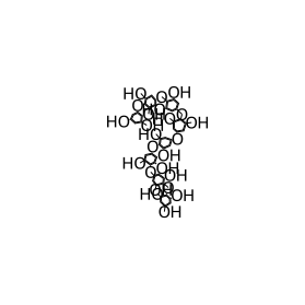 Oc1cc(O)cc(Oc2c(O)cc(Oc3c(O)cc(Oc4c(O)cc(Oc5cc(O)c(Oc6cc(O)c(Oc7cc(O)c(Oc8c(O)cc(O)cc8O)c(O)c7)c(O)c6)c(O)c5)cc4O)cc3O)cc2O)c1